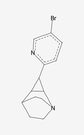 Brc1ccc(C2C3C4CCN(CC4)C23)nc1